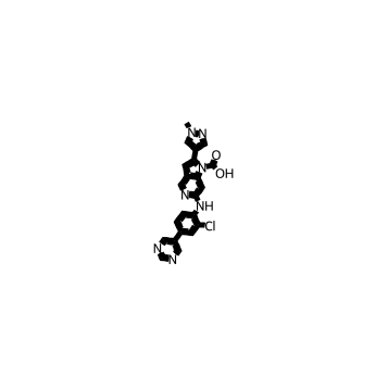 Cn1cc(-c2cc3cnc(Nc4ccc(-c5cncnc5)cc4Cl)cc3n2C(=O)O)cn1